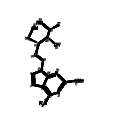 CSc1nc(N)c2ccn(CO[C@H](CO)[C@@H](O)[C@H](C)O)c2n1